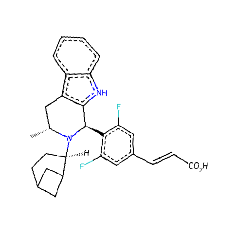 C[C@@H]1Cc2c([nH]c3ccccc23)[C@@H](c2c(F)cc(/C=C/C(=O)O)cc2F)N1[C@@H]1CCC2CC1C2